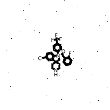 O=C(c1ccccc1F)[N+]1(c2ccc(C(F)(F)F)cc2)CC2(CCNCC2)c2cc(Cl)ccc21